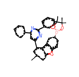 Cc1cc(-c2cc(-c3ccccc3)nc(-c3ccccc3)n2)c2c(c1)oc1ccc(B3OC(C)(C)C(C)(C)O3)cc12